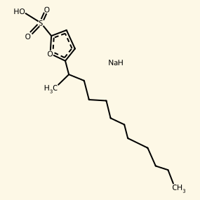 CCCCCCCCCCC(C)c1ccc(S(=O)(=O)O)o1.[NaH]